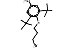 CC(C)(C)c1cc(O)cc(C(C)(C)C)c1SCCCBr